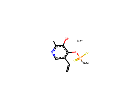 C=Cc1cnc(C)c(O)c1OP(=S)([S-])OC.[Na+]